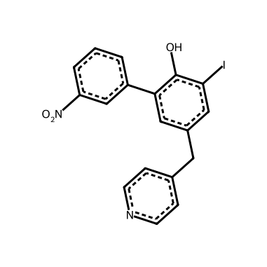 O=[N+]([O-])c1cccc(-c2cc(Cc3ccncc3)cc(I)c2O)c1